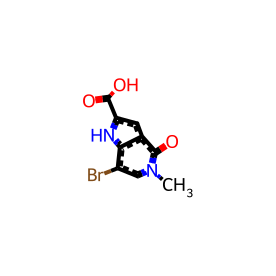 Cn1cc(Br)c2[nH]c(C(=O)O)cc2c1=O